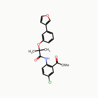 COC(=O)c1cc(Cl)ccc1NC(=O)C(C)(C)Oc1cccc(-c2ccoc2)c1